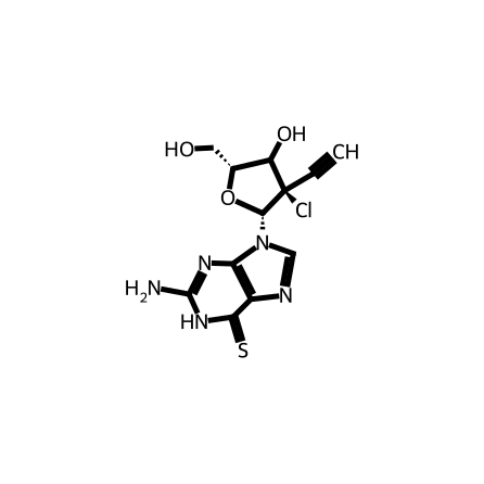 C#C[C@@]1(Cl)C(O)[C@@H](CO)O[C@H]1n1cnc2c(=S)[nH]c(N)nc21